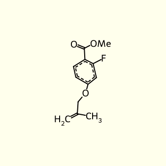 C=C(C)COc1ccc(C(=O)OC)c(F)c1